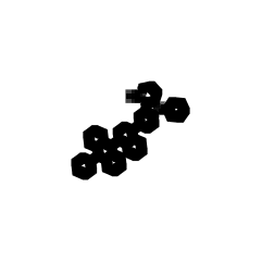 C1=CCCC(c2c3ccccc3c(C3=c4ccccc4=C(c4ccc5c(c4)c4c(n5-c5ccccc5)C=CCN4)CC3)c3ccccc23)=C1